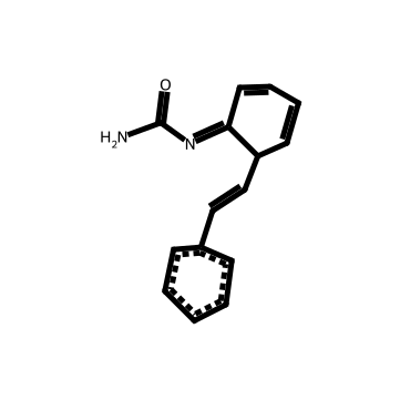 NC(=O)N=C1C=CC=CC1C=Cc1ccccc1